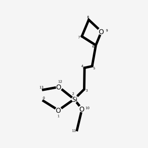 CO[Si](CCCC1CCO1)(OC)OC